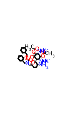 CC(=O)O[C@H]1C(N=[N+]=[N-])C([C@H]2O[C@H](CN(Cc3ccccc3)C(=O)OCc3ccccc3)CC[C@H]2N)[C@H](O)[C@@H](OC(C)=O)C1N=[N+]=[N-]